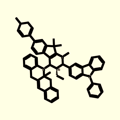 CC[C@H]1C(c2ccc3c(c2)c2ccccc2n3-c2ccccc2)N(C)C2=C(c3ccc(C4=CCC(C)C=C4)cc3C2(C)C)C1N1c2ccccc2CC2=Cc3ccccc3CC21C